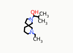 CCN1CCCC2(CCN(C(O)C(C)C)C2)C1